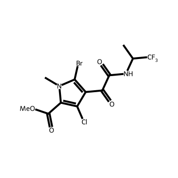 COC(=O)c1c(Cl)c(C(=O)C(=O)NC(C)C(F)(F)F)c(Br)n1C